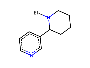 CCN1CCCCC1c1cccnc1